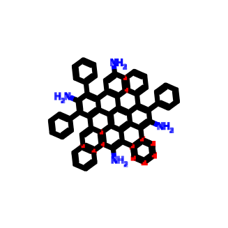 Nc1ccc2c(c1)c1c(-c3ccccc3)c(N)c(-c3ccccc3)c(-c3ccccc3)c1c1c3cc(-c4ccccc4)c(N)c(-c4ccccc4)c3c3c(-c4ccccc4)c(N)c(-c4ccccc4)c(-c4ccccc4)c3c21